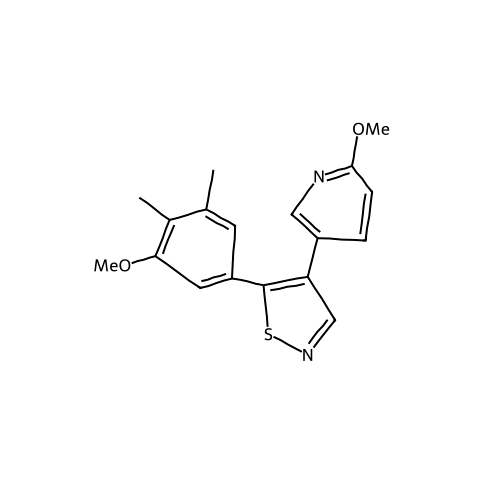 COc1ccc(-c2cnsc2-c2cc(C)c(C)c(OC)c2)cn1